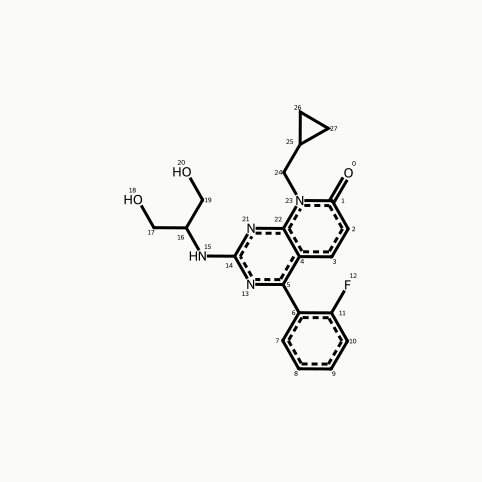 O=c1ccc2c(-c3ccccc3F)nc(NC(CO)CO)nc2n1CC1CC1